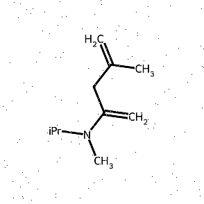 C=C(C)CC(=C)N(C)C(C)C